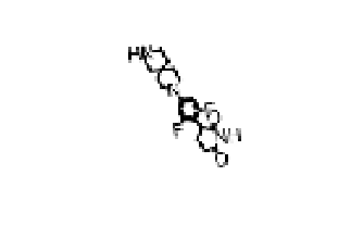 O=C1CCC(c2c(F)cc(N3CCC4(CCNCC4)CC3)cc2F)C(=O)N1